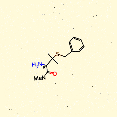 CNC(=O)[C@@H](N)C(C)(C)SCc1ccccc1